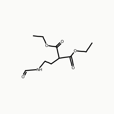 CCOC(=O)C(CCNC=O)C(=O)OCC